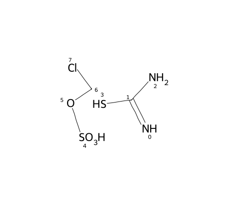 N=C(N)S.O=S(=O)(O)OCCl